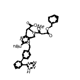 CCCCc1nc2c(n1Cc1ccc(-c3ccccc3-c3nnn[nH]3)cc1)CN(C(=O)CC(=O)OCc1ccccc1)C(C(=O)OC)C2